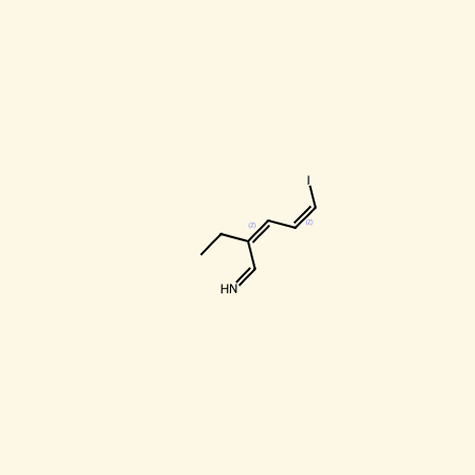 CC/C(C=N)=C/C=C\I